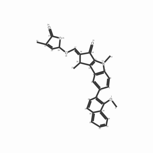 COc1c(-c2ccc3c(c2)c2c(n3C)C(=O)/C(=C/OC3C=C(C)C(=O)O3)C2C)ccc2ccccc12